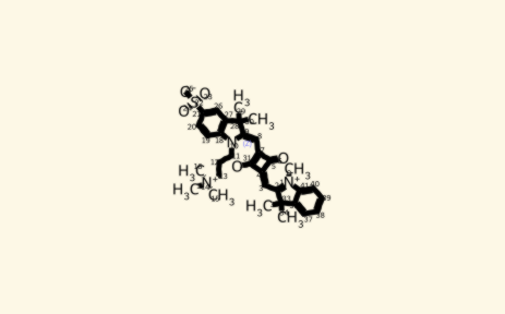 C[N+]1=C(C=C2C(=O)C(/C=C3\N(CCC[N+](C)(C)C)c4ccc(S(=O)(=O)[O-])cc4C3(C)C)=C2[O-])C(C)(C)c2ccccc21